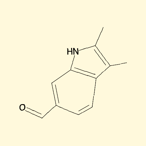 Cc1[nH]c2cc(C=O)ccc2c1C